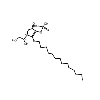 CCCCCCCCCCCCCCOC1=C(OP(=O)(O)O)C(=O)O[C@@H]1[C@@H](O)CO